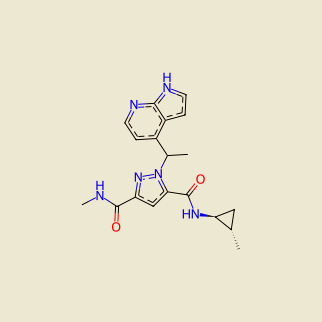 CNC(=O)c1cc(C(=O)N[C@H]2C[C@@H]2C)n(C(C)c2ccnc3[nH]ccc23)n1